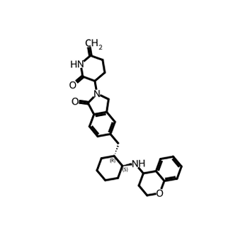 C=C1CCC(N2Cc3cc(C[C@H]4CCCC[C@@H]4NC4CCOc5ccccc54)ccc3C2=O)C(=O)N1